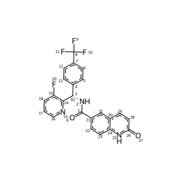 O=C(N[C@@H](c1ccc(C(F)(F)F)cc1)c1ncccc1F)c1ccc2[nH]c(=O)ccc2c1